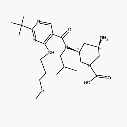 COCCCNc1nc(C(C)(C)C)ncc1C(=O)N(CC(C)C)[C@H]1C[C@@H](N)CN(C(=O)O)C1